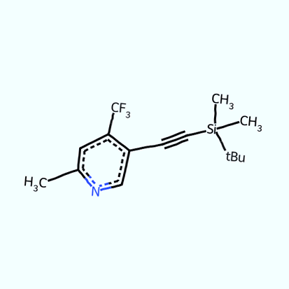 Cc1cc(C(F)(F)F)c(C#C[Si](C)(C)C(C)(C)C)cn1